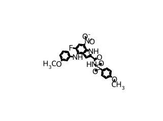 COc1ccc(S(=O)(=O)NC(=O)c2cc3c(Nc4cccc(OC)c4)c(F)cc([N+](=O)[O-])c3[nH]2)cc1